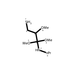 CCCNC(OC)(OC)C(C[SiH3])OC